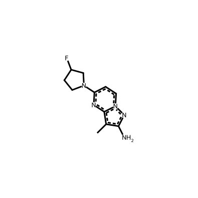 Cc1c(N)nn2ccc(N3CCC(F)C3)nc12